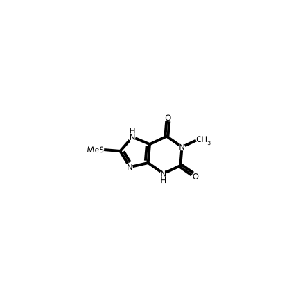 CSc1nc2[nH]c(=O)n(C)c(=O)c2[nH]1